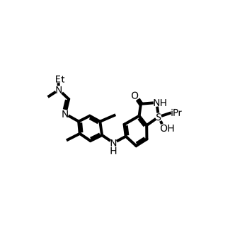 CCN(C)C=Nc1cc(C)c(Nc2ccc3c(c2)C(=O)NS3(O)C(C)C)cc1C